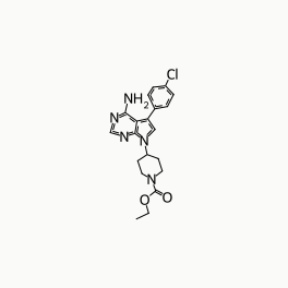 CCOC(=O)N1CCC(n2cc(-c3ccc(Cl)cc3)c3c(N)ncnc32)CC1